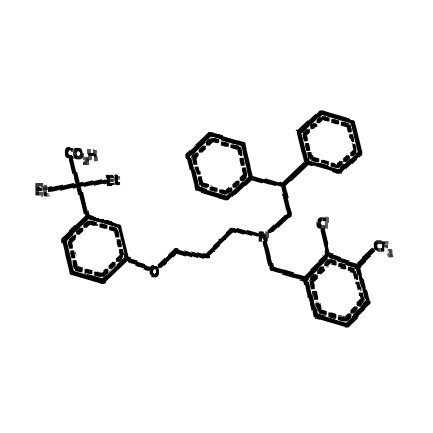 CCC(CC)(C(=O)O)c1cccc(OCCCN(Cc2cccc(C(F)(F)F)c2Cl)CC(c2ccccc2)c2ccccc2)c1